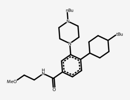 CCCCN1CCN(c2cc(C(=O)NCCOC)ccc2C2CCC(C(C)(C)C)CC2)CC1